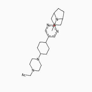 CC(=O)CN1CCN(C2CCC(c3cnc(N4C5CCC4CN(C)C5)nc3)CC2)CC1